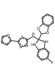 Fc1ccc2c(c1)NC(Nc1nnc(-c3ccco3)s1)(C1Oc3ccccc3O1)N2